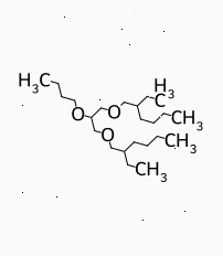 CCCCOC(COCC(CC)CCCC)COCC(CC)CCCC